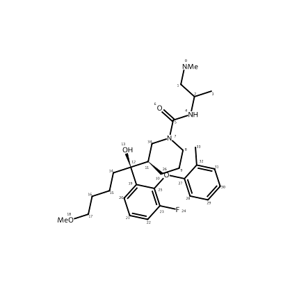 CNCC(C)NC(=O)N1CCC[C@@H]([C@@](O)(CCCCOC)c2cccc(F)c2Oc2ccccc2C)C1